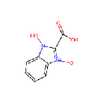 O=C(O)c1n(O)c2ccccc2[n+]1[O-]